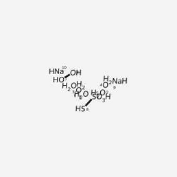 O.O.O.O.O.O=S(=O)(O)S.OO.[NaH].[NaH]